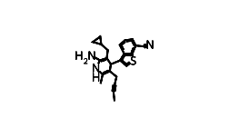 CC#CCC1=C(C)NC(N)=C(CC2CC2)C1c1csc2c(C#N)cccc12